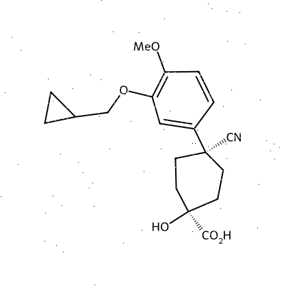 COc1ccc([C@]2(C#N)CC[C@@](O)(C(=O)O)CC2)cc1OCC1CC1